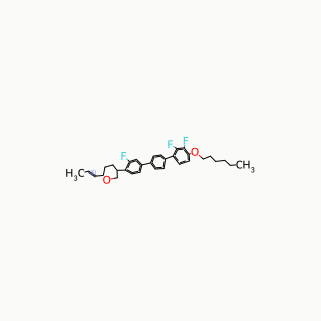 C/C=C/C1CCC(c2ccc(-c3ccc(-c4ccc(OCCCCCC)c(F)c4F)cc3)cc2F)CO1